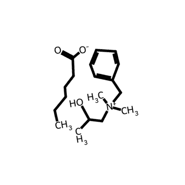 CC(O)C[N+](C)(C)Cc1ccccc1.CCCCCC(=O)[O-]